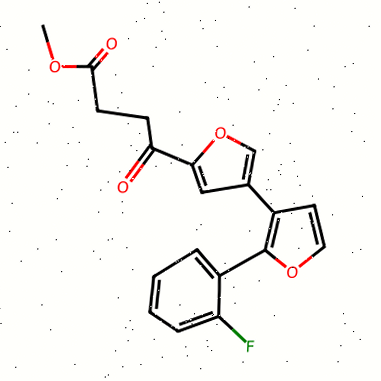 COC(=O)CCC(=O)c1cc(-c2ccoc2-c2ccccc2F)co1